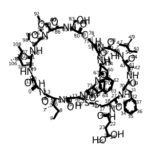 C=C1NC(=O)[C@H]([C@@H](C)CC)NC(=O)[C@@H]2CSSC[C@H](NC(=O)CCC(O)O)C(=O)N[C@H](Cc3ccccc3)C(=O)N[C@H](C)C(=O)N[C@@H](C[C@@H](C)CC)C(=O)N[C@@H](C(=O)N[C@H](Cc3ccccc3)C(=O)N3CCC[C@H]3C(=O)N2)[C@@H](C)OC(=O)[C@H](CO)NC(=O)[C@H]([C@@H](C)OC)N(C)C(=O)[C@@H](CC)NC(=O)[C@H](C[C@H](C)CC)NC1=O